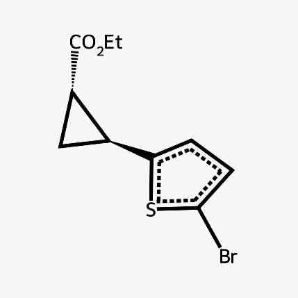 CCOC(=O)[C@H]1C[C@@H]1c1ccc(Br)s1